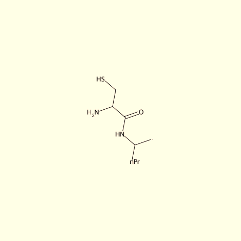 [CH2]CCC([CH2])NC(=O)C(N)CS